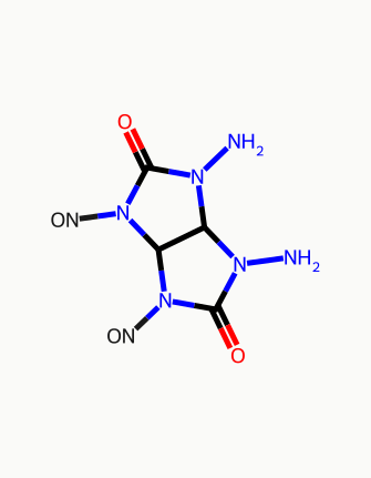 NN1C(=O)N(N=O)C2C1N(N)C(=O)N2N=O